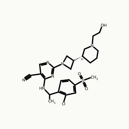 CC(Nc1nc(N2CC([C@H]3CCCN(CCO)C3)C2)ncc1C#N)c1ccc(S(C)(=O)=O)cc1Cl